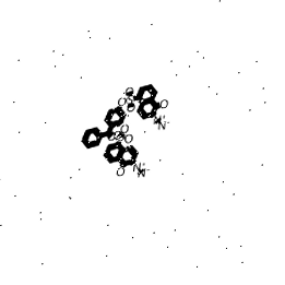 [N-]=[N+]=C1C=Cc2c(cccc2S(=O)(=O)Oc2ccc(C(=O)c3ccccc3)c(OS(=O)(=O)c3cccc4c3C=CC(=[N+]=[N-])C4=O)c2)C1=O